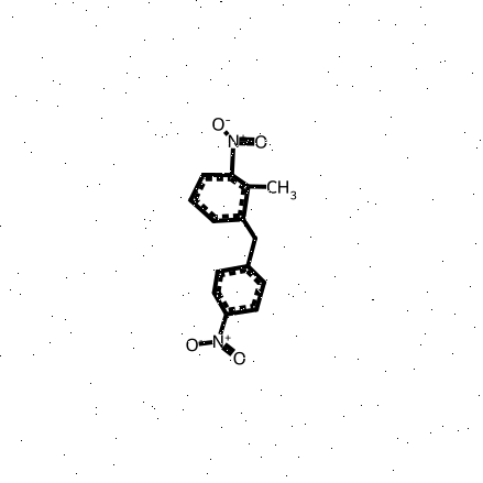 Cc1c(Cc2ccc([N+](=O)[O-])cc2)cccc1[N+](=O)[O-]